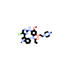 C=CC(=O)Nc1cc(Nc2ncc(Cl)c(-c3cn(C)c4ccccc34)n2)c(OC)cc1OCCN1CCN(C)CC1